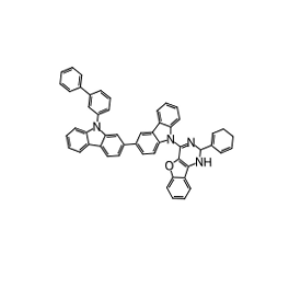 C1=CC(C2N=C(n3c4ccccc4c4cc(-c5ccc6c7ccccc7n(-c7cccc(-c8ccccc8)c7)c6c5)ccc43)c3oc4ccccc4c3N2)=CCC1